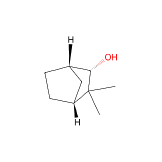 CC1(C)[C@@H]2CC[C@@H](C2)[C@@H]1O